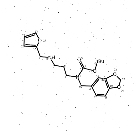 CC(C)(C)OC(=O)N(CCCNCc1ccco1)Cc1ccc2c(c1)OCO2